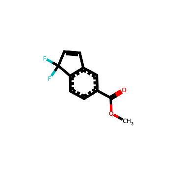 COC(=O)c1ccc2c(c1)C=CC2(F)F